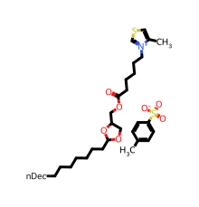 CCCCCCCCCCCCCCCCCC1OCC(COC(=O)CCCCC[n+]2cscc2C)O1.Cc1ccc(S(=O)(=O)[O-])cc1